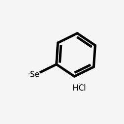 Cl.[Se]c1ccccc1